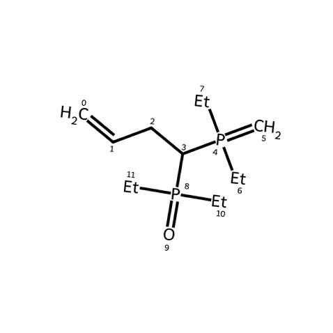 C=CCC(P(=C)(CC)CC)P(=O)(CC)CC